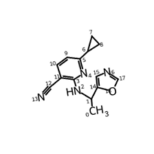 CC(Nc1nc(C2CC2)ccc1C#N)c1cnco1